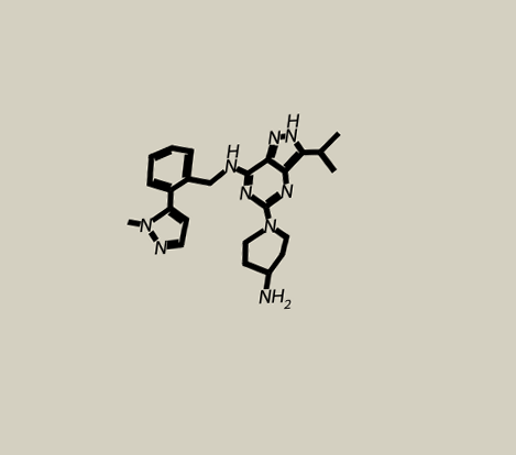 CC(C)c1[nH]nc2c(NCc3ccccc3-c3ccnn3C)nc(N3CCC(N)CC3)nc12